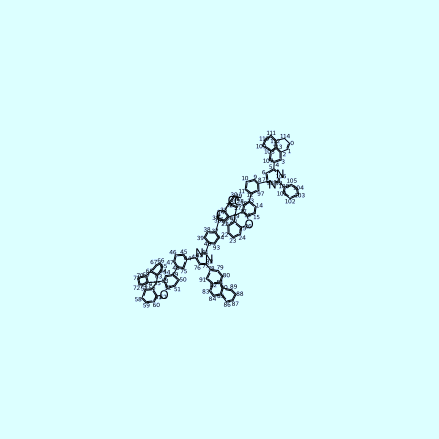 C1=Cc2cc(-c3cc(-c4cccc(-c5ccc6c(c5)C5(c7ccccc7O6)c6ccccc6-c6ccc(-c7ccc(-c8nc(-c9cccc(-c%10ccc%11c(c%10)C%10(c%12ccccc%12O%11)c%11ccccc%11-c%11ccccc%11%10)c9)cc(-c9ccc%10c(ccc%11ccccc%11%10)c9)n8)cc7)cc65)c4)nc(-c4ccccc4)n3)cc3cccc(c23)C1